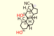 C[C@]12CC[C@@H](O)C[C@H]1CC[C@H]1C3CC/C(=C/C#N)[C@@]3(C)C[C@H](O)[C@@H]12